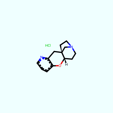 Cl.c1cnc2c(c1)O[C@H]1CCN3CC[C@@]1(C2)C3